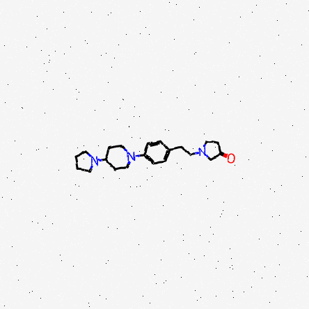 O=C1CCN(CCc2ccc(N3CCC(N4CCCC4)CC3)cc2)C1